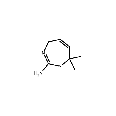 CC1(C)C=CCN=C(N)S1